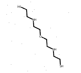 SCCNCCOCCNCCS